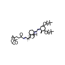 C=C1/C(=C\C=C2/CCC[C@]3(C)[C@@H]([C@H](C)/C=C/C(=O)CCC4(C5(C)OCCO5)CC4)CC[C@@H]23)C[C@@H](O[Si](C)(C)C(C)(C)C)C[C@@H]1O[Si](C)(C)C(C)(C)C